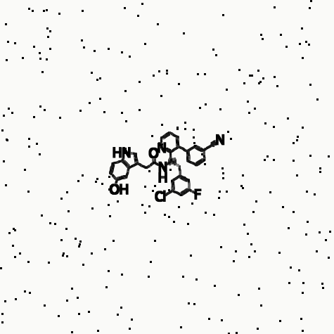 N#Cc1cccc(-c2cccnc2[C@H](Cc2cc(F)cc(Cl)c2)NC(=O)Cc2c[nH]c3ccc(O)cc23)c1